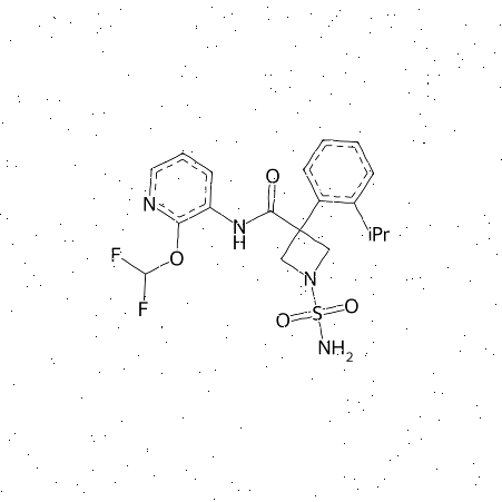 CC(C)c1ccccc1C1(C(=O)Nc2cccnc2OC(F)F)CN(S(N)(=O)=O)C1